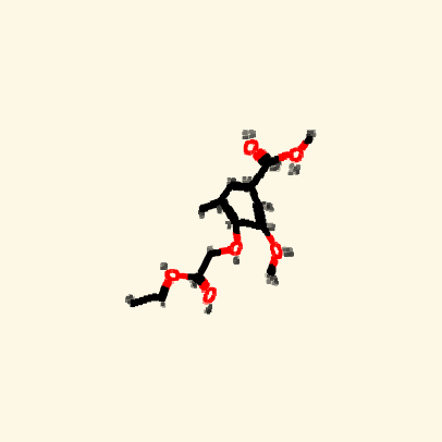 CCOC(=O)COc1c(C)cc(C(=O)OC)cc1OC